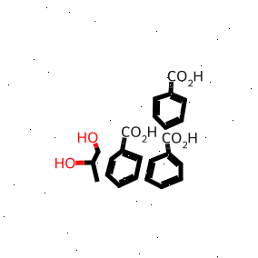 CC(O)CO.O=C(O)c1ccccc1.O=C(O)c1ccccc1.O=C(O)c1ccccc1